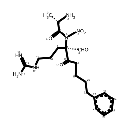 C[C@H](N)C(=O)N([N+](=O)[O-])[C@]([C]=O)(CCCNC(=N)N)C(=O)CCCCc1ccccc1